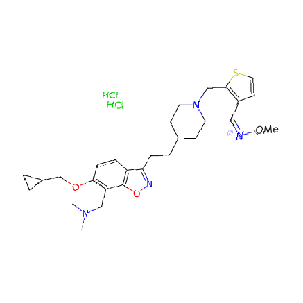 CO/N=C\c1ccsc1CN1CCC(CCc2noc3c(CN(C)C)c(OCC4CC4)ccc23)CC1.Cl.Cl